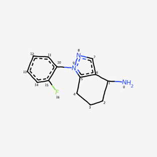 NC1CCCc2c1cnn2-c1ccccc1F